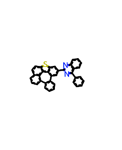 c1ccc(-c2nc(-c3cc4c5c(c3)sc3ccc6cccc(c6c35)-c3ccccc3-4)nc3ccccc23)cc1